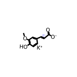 COc1cc(/C=C/C(=O)[O-])ccc1O.[K+]